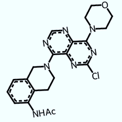 CC(=O)Nc1cccc2c1CCN(c1ncnc3c(N4CCOCC4)nc(Cl)nc13)C2